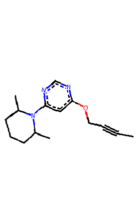 CC#CCOc1cc(N2C(C)CCCC2C)ncn1